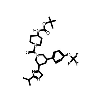 CC(C)C1=NCC(C2CC(c3ccc(OC(F)(F)F)cc3)CN(C(=O)N3CCC(NC(=O)OC(C)(C)C)CC3)C2)=N1